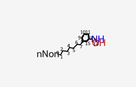 CCCCCCCCCCCCCCCCc1cccc(NO)c1